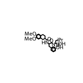 COc1cc2c(cc1OC)CC(C(=O)NC(Cc1ccccc1)C(=O)NC(CC(C)C)B(O)O)CC2